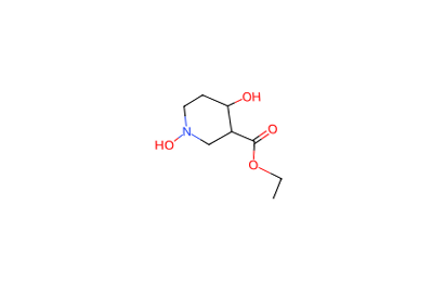 CCOC(=O)C1CN(O)CCC1O